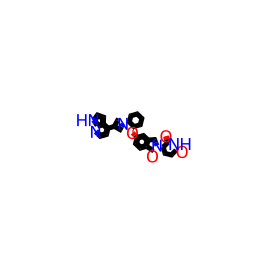 O=C1CCC(N2Cc3cc(O[C@H]4CCCC[C@@H]4N4CC(c5ccnc6[nH]ccc56)C4)ccc3C2=O)C(=O)N1